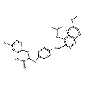 COc1ccc2ncc(COc3ccc(CC(Oc4ccc(Cl)cc4)C(=O)O)cc3)c(OC(C)C)c2c1